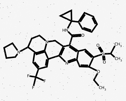 CCOc1cc2nc(-c3cccc(C(F)(F)F)c3)c(CN3CCC(N4CCCC4)CC3)c(C(=O)NC3(c4ccccc4)CC3)c2cc1S(=O)(=O)C(C)C